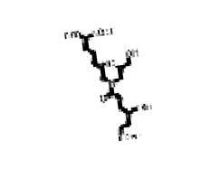 CCCCCCCCCCCCC(CCCC)CCC(=O)N(CCCCCC(CCC)CCCCCCCC)CC(O)CO